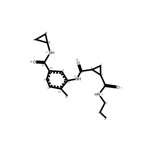 CCCNC(=O)C1CC1C(=O)Nc1cc(C(=O)NC2CC2)ccc1C